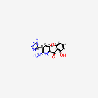 Nc1nc2c(=O)c3c(O)cccc3oc2cc1-c1nnn[nH]1